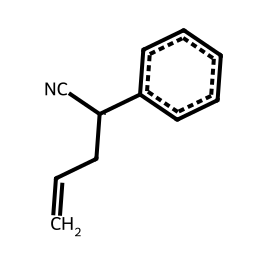 C=CC[C](C#N)c1ccccc1